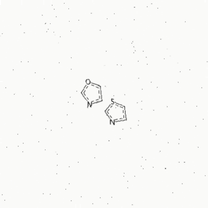 c1cocn1.c1cscn1